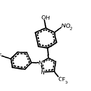 O=[N+]([O-])c1cc(-c2cc(C(F)(F)F)nn2-c2ccc(F)cc2)ccc1O